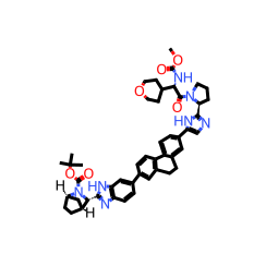 COC(=O)N[C@H](C(=O)N1CCC[C@H]1c1ncc(-c2ccc3c(c2)CCc2cc(-c4ccc5nc([C@@H]6[C@H]7CC[C@H](C7)N6C(=O)OC(C)(C)C)[nH]c5c4)ccc2-3)[nH]1)C1CCOCC1